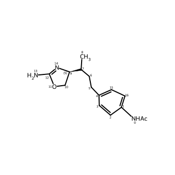 CC(=O)Nc1ccc(CCC(C)[C@H]2COC(N)=N2)cc1